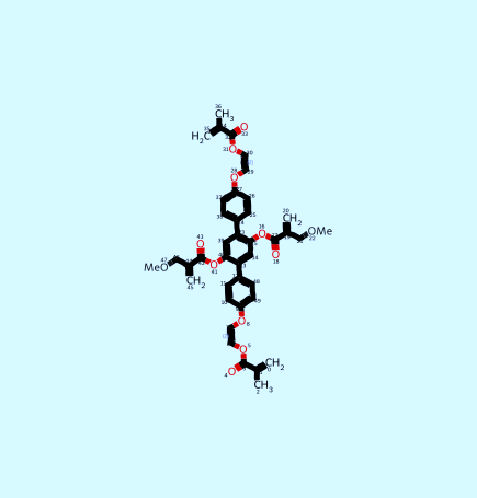 C=C(C)C(=O)O/C=C\Oc1ccc(-c2cc(OC(=O)C(=C)COC)c(-c3ccc(O/C=C\OC(=O)C(=C)C)cc3)cc2OC(=O)C(=C)COC)cc1